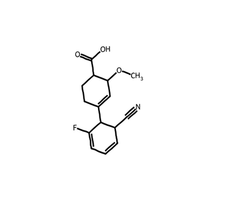 COC1C=C(C2C(F)=CC=CC2C#N)CCC1C(=O)O